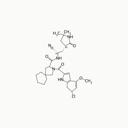 COC1=CC(Cl)Cc2[nH]c(C(=O)N3CC4(CCCCC4)CC3C(=O)N[C@H](C#N)C[C@@H]3CC(C)(C)NC3=O)cc21